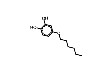 CCCCCCOc1ccc(O)c(O)c1